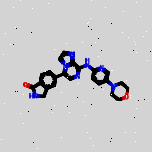 O=C1NCc2cc(-c3cnc(Nc4ccc(N5CCOCC5)cn4)c4nccn34)ccc21